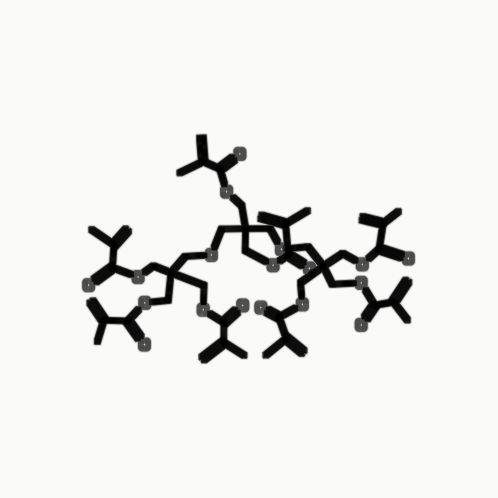 C=C(C)C(=O)OCC(COCC(COC(=O)C(=C)C)(COC(=O)C(=C)C)COC(=O)C(=C)C)(COCC(COC(=O)C(=C)C)(COC(=O)C(=C)C)COC(=O)C(=C)C)COC(=O)C(=C)C